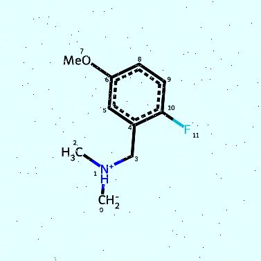 [CH2-][NH+](C)Cc1cc(OC)ccc1F